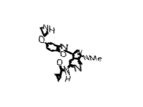 CNc1ncc(-c2nc3cc(OC4CNC4)ccc3o2)c2cc(NC(=O)C3CC3)ncc12